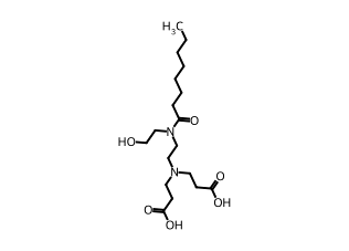 CCCCCCCC(=O)N(CCO)CCN(CCC(=O)O)CCC(=O)O